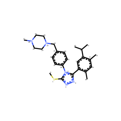 CSc1nnc(-c2cc(C(C)C)c(C)cc2C)n1-c1ccc(CN2CCN(C)CC2)cc1